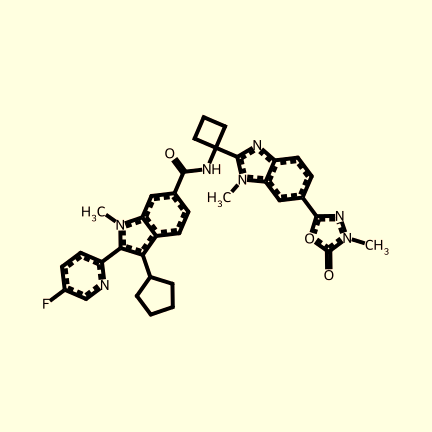 Cn1nc(-c2ccc3nc(C4(NC(=O)c5ccc6c(C7CCCC7)c(-c7ccc(F)cn7)n(C)c6c5)CCC4)n(C)c3c2)oc1=O